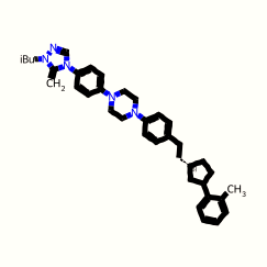 C=C1N(c2ccc(N3CCN(c4ccc(CC[C@@H]5CCC(c6ccccc6C)C5)cc4)CC3)cc2)C=NN1C(C)CC